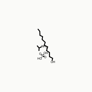 CC(C)N.CCCCCCCCCCCCO.O=S(=O)(O)O